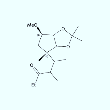 CCC(=O)C(C)C(C)[C@]1(C)C[C@@H](OC)C2OC(C)(C)OC21